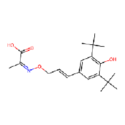 CC(=NOCC=Cc1cc(C(C)(C)C)c(O)c(C(C)(C)C)c1)C(=O)O